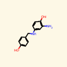 Nc1cc(NCc2ccc(O)cc2)ccc1O